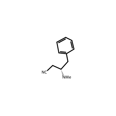 CN[C@H](CC#N)Cc1ccccc1